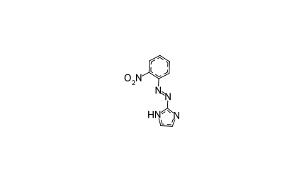 O=[N+]([O-])c1ccccc1N=Nc1ncc[nH]1